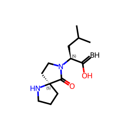 B=C(O)[C@H](CC(C)C)N1CC[C@@]2(CCCN2)C1=O